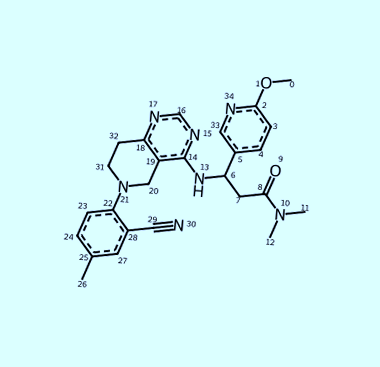 COc1ccc(C(CC(=O)N(C)C)Nc2ncnc3c2CN(c2ccc(C)cc2C#N)CC3)cn1